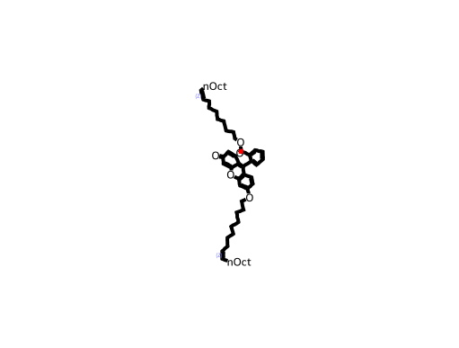 CCCCCCCC/C=C\CCCCCCCCOC(=O)c1ccccc1-c1c2ccc(=O)cc-2oc2cc(OCCCCCCCC/C=C\CCCCCCCC)ccc12